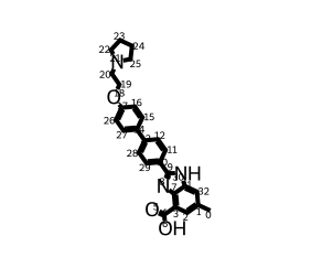 Cc1cc(C(=O)O)c2nc(-c3ccc(-c4ccc(OCCN5CCCC5)cc4)cc3)[nH]c2c1